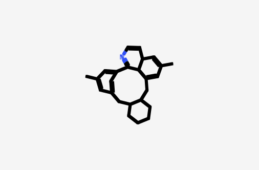 CC1=CC2C=CN=C3c4cc(C)cc(c4)CC4CCCCC4CC(=C1)C32